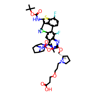 CC(C)(C)OC(=O)Nc1sc2c(F)ccc(-c3c(Cl)cc4c(N5CC6CCC(C5)N6C(=O)OC(C)(C)C)nc(OC[C@@H]5CCCN5CCCOCCC(=O)O)nc4c3F)c2c1C#N